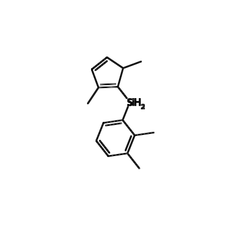 CC1=C([SiH2]c2cccc(C)c2C)C(C)C=C1